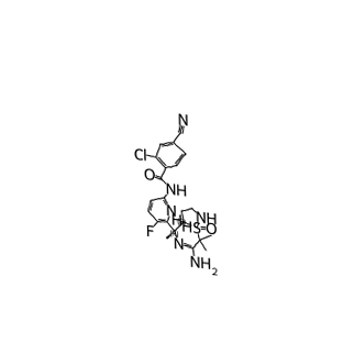 CC1(C)C(N)=N[C@](C)(c2nc(NC(=O)c3ccc(C#N)cc3Cl)ccc2F)[C@@H]2CCN[SH]21=O